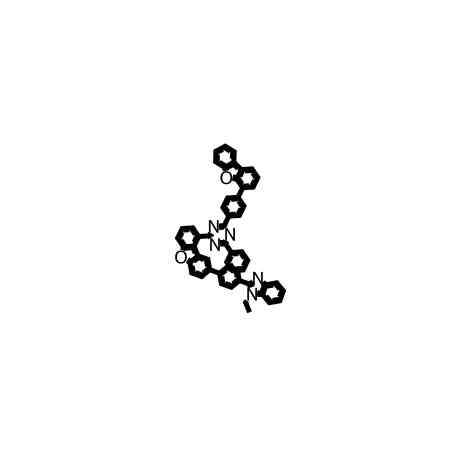 CCn1c(-c2ccc(-c3ccc4oc5cccc(-c6nc(-c7ccccc7)nc(-c7ccc(-c8cccc9c8oc8ccccc89)cc7)n6)c5c4c3)cc2)nc2ccccc21